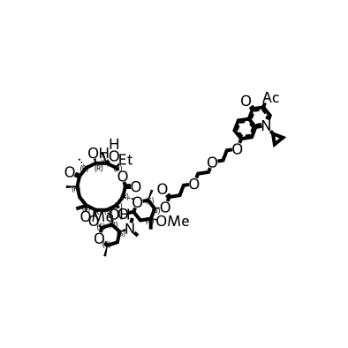 CC[C@H]1OC(=O)[C@H](C)[C@@H](OC2C[C@@](C)(OC)[C@@H](OC(=O)CCOCCOCCOc3ccc4c(=O)c(C(C)=O)cn(C5CC5)c4c3)[C@H](C)O2)[C@H](C)[C@@H](O[C@@H]2O[C@H](C)C[C@H](N(C)C)[C@H]2O)[C@](C)(OC)C[C@@H](C)C(=O)[C@H](C)[C@@H](O)[C@]1(C)O